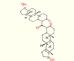 C[C@]12CC[C@H]3[C@@H](CCC4C(C(=O)C5C(=O)CC[C@@]6(C)C5CC[C@H]5[C@@H]7CC[C@H](O)[C@@]7(C)CC[C@@H]56)C(=O)CC[C@@]43C)[C@@H]1CC[C@@H]2O